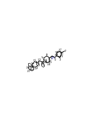 Cc1ccc(/C=C/C2CCN(C(=O)CN3CCC4(CC3)OCCO4)CC2)cc1